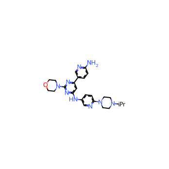 CC(C)N1CCN(c2ccc(Nc3cc(-c4ccc(N)nc4)nc(N4CCOCC4)n3)cn2)CC1